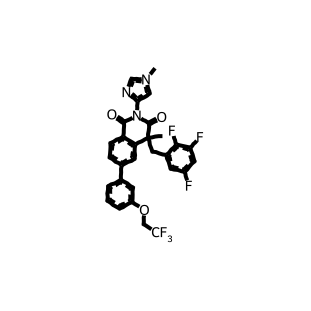 Cn1cnc(N2C(=O)c3ccc(-c4cccc(OCC(F)(F)F)c4)cc3C(C)(Cc3cc(F)cc(F)c3F)C2=O)c1